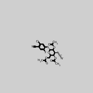 CC(=O)OCC1O[C@H](Sc2cc(Cl)c(C#N)cc2F)C(OC(C)=O)[C@@H](N=[N+]=[N-])[C@H]1OC(C)=O